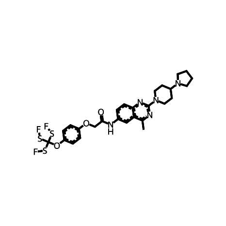 Cc1nc(N2CCC(N3CCCC3)CC2)nc2ccc(NC(=O)COc3ccc(OC(SF)(SF)SF)cc3)cc12